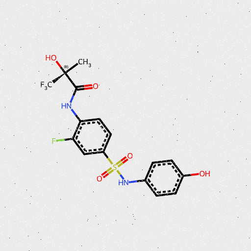 C[C@@](O)(C(=O)Nc1ccc(S(=O)(=O)Nc2ccc(O)cc2)cc1F)C(F)(F)F